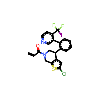 C=CC(=O)N1Cc2sc(Cl)cc2C(c2ccccc2-c2cnccc2C(F)(F)I)C1